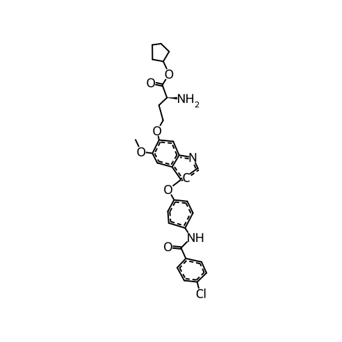 COc1cc2c(Oc3ccc(NC(=O)c4ccc(Cl)cc4)cc3)ccnc2cc1OCC[C@H](N)C(=O)OC1CCCC1